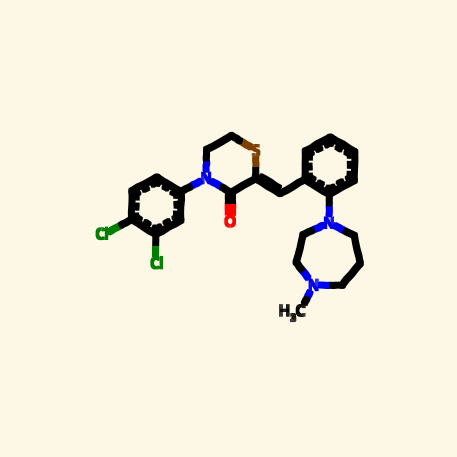 CN1CCCN(c2ccccc2C=C2SCCN(c3ccc(Cl)c(Cl)c3)C2=O)CC1